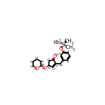 CC(C)(C)[Si](C)(C)Oc1cccc(CC2=CC(O[C@@H]3CCCCO3)CC2=O)c1